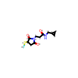 O=C(CCN1C(=O)CC(SF)C1=O)NCC1CC1